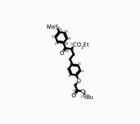 CCOC(=O)C(CCc1ccc(OCC(=O)OC(C)(C)C)cc1)C(=O)c1ccc(SC)cc1